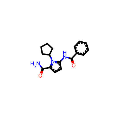 NC(=O)c1ccc(NC(=O)c2ccccc2)n1C1CCCC1